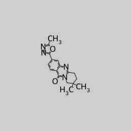 Cc1nnc(-c2ccc3c(=O)n4c(nc3c2)CCC(C)(C)C4)o1